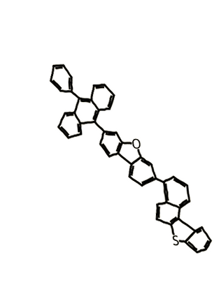 c1ccc(-c2c3ccccc3c(-c3ccc4c(c3)oc3cc(-c5cccc6c5ccc5sc7ccccc7c56)ccc34)c3ccccc23)cc1